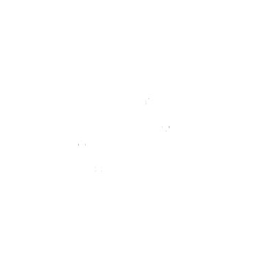 COC(=O)C1C=CC(C(=O)OCc2ccccc2)CC1